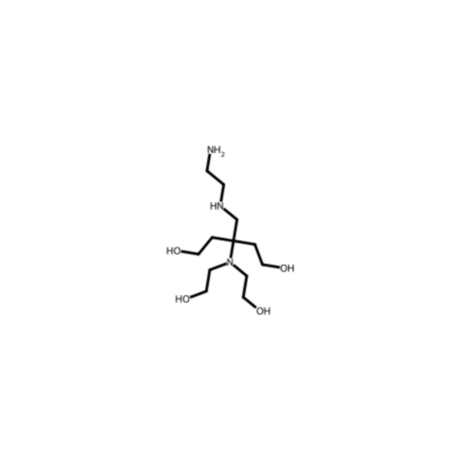 NCCNCC(CCO)(CCO)N(CCO)CCO